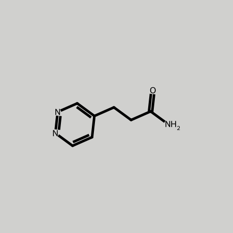 NC(=O)CCc1ccnnc1